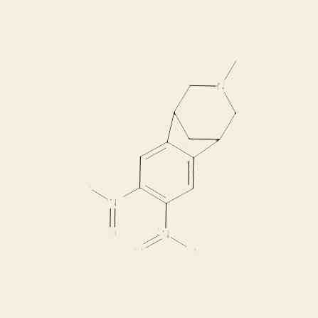 CN1CC2CC(C1)c1cc([N+](=O)[O-])c([N+](=O)[O-])cc12